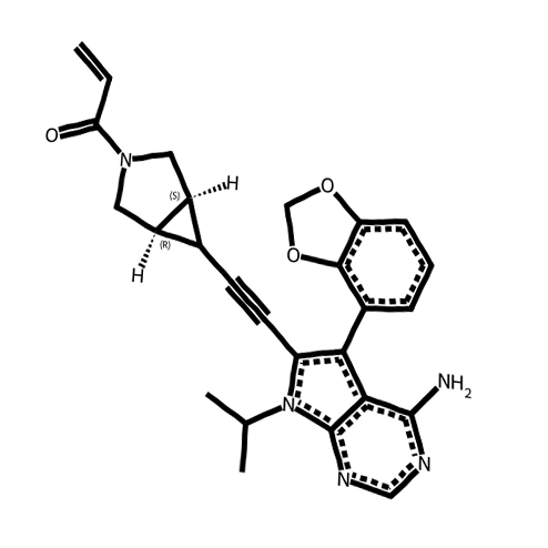 C=CC(=O)N1C[C@@H]2C(C#Cc3c(-c4cccc5c4OCO5)c4c(N)ncnc4n3C(C)C)[C@@H]2C1